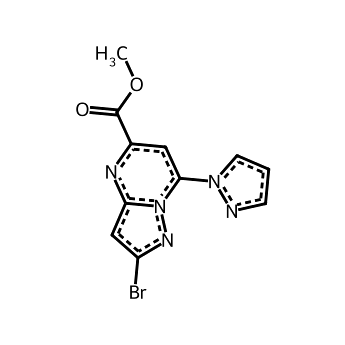 COC(=O)c1cc(-n2cccn2)n2nc(Br)cc2n1